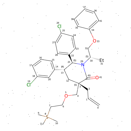 C=CC[C@@]1(COCCS(C)(C)C)C[C@H](c2cccc(Cl)c2)[C@@H](c2ccc(Cl)cc2)N([C@@H](CC)COc2ccccc2)C1=O